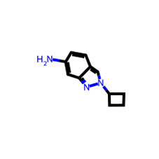 Nc1ccc2cn(C3CCC3)nc2c1